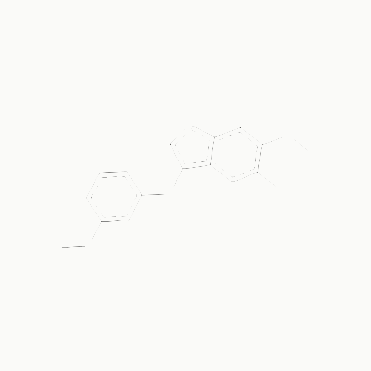 COc1cccc(Sc2csc3cc(OC)c(C)cc23)c1